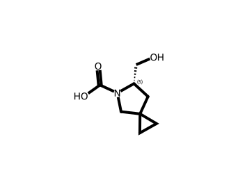 O=C(O)N1CC2(CC2)C[C@H]1CO